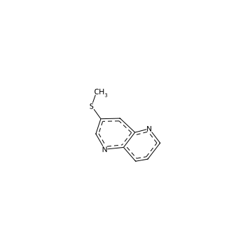 CSc1cnc2cccnc2c1